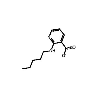 CCCCCNc1ncccc1[N+](=O)[O-]